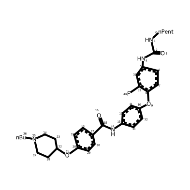 CCCCCNC(=O)Nc1ccc(Oc2ccc(NC(=O)c3ccc(OC4CCN(CCCC)CC4)cc3)cc2)c(F)c1